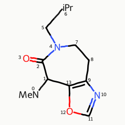 CNC1C(=O)N(CC(C)C)CCc2ncoc21